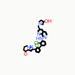 O=C1CCCn2nc(-c3cccc(-c4cccc(Nc5nccc6cc(CN7CC[C@@H](O)C7)cnc56)c4Cl)c3Cl)cc21